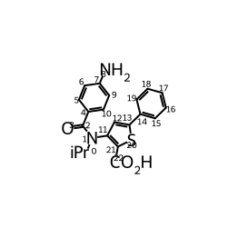 CC(C)N(C(=O)c1ccc(N)cc1)c1cc(-c2ccccc2)sc1C(=O)O